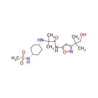 CC(C)(N[C@H]1CC[C@@H](NS(C)(=O)=O)CC1)C(=O)Nc1cc(C(C)(C)CO)no1